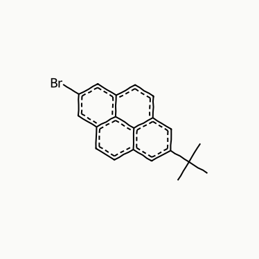 CC(C)(C)c1cc2ccc3cc(Br)cc4ccc(c1)c2c34